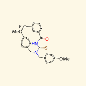 COc1ccc(CN(Cc2ccc(OC)cc2)C(=S)NC(=O)c2cccc(C(F)(F)F)c2)cc1